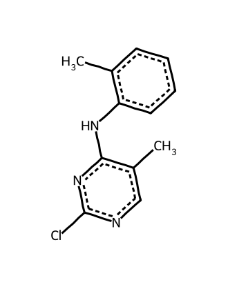 Cc1ccccc1Nc1nc(Cl)ncc1C